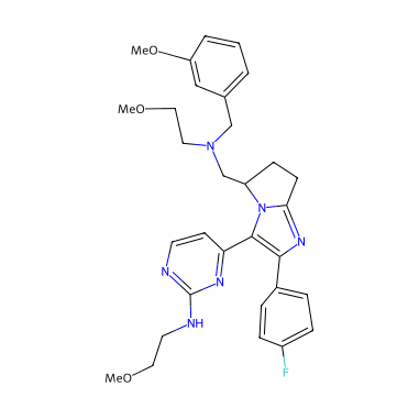 COCCNc1nccc(-c2c(-c3ccc(F)cc3)nc3n2C(CN(CCOC)Cc2cccc(OC)c2)CC3)n1